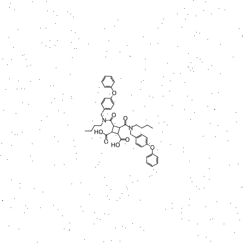 CCCCN(Cc1ccc(Oc2ccccc2)cc1)C(=O)C1C(C(=O)O)C(C(=O)O)C1C(=O)N(CCCC)Cc1ccc(Oc2ccccc2)cc1